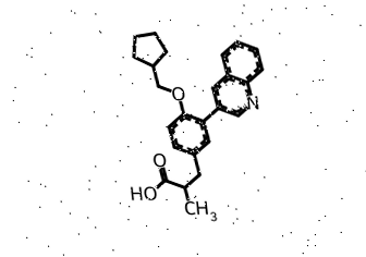 CC(Cc1ccc(OCC2CCCC2)c(-c2cnc3ccccc3c2)c1)C(=O)O